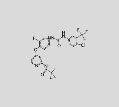 CC1(C(=O)Nc2cc(Oc3ccc(NC(=O)Nc4ccc(Cl)c(C(F)(F)F)c4)cc3F)ccn2)CC1